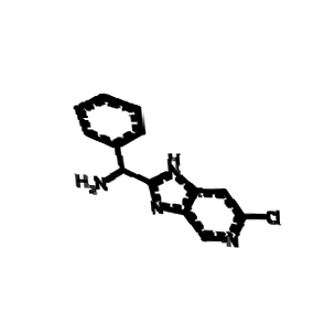 NC(c1ccccc1)c1nc2cnc(Cl)cc2[nH]1